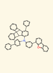 c1ccc(-c2ccc(N(c3cccc(-c4cccc5c4oc4ccccc45)c3)c3ccc(-c4ccccc4)c4c3C3c5ccccc5C35c3ccccc3C45)cc2)cc1